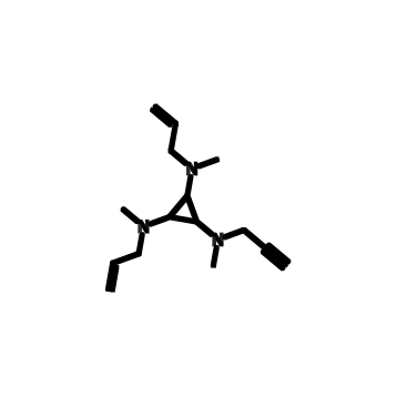 C#CCN(C)C1C(N(C)CC=C)C1N(C)CC=C